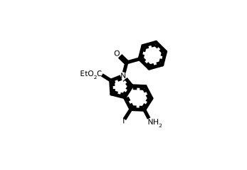 CCOC(=O)c1cc2c(I)c(N)ccc2n1C(=O)c1ccccc1